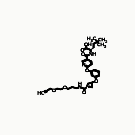 C#CCOCCOCCCNC(=O)N1CC(Oc2cccc(Oc3ccc(C(=O)N[C@@H](CCC(C)(C)C)C(=O)O)cn3)c2)C1